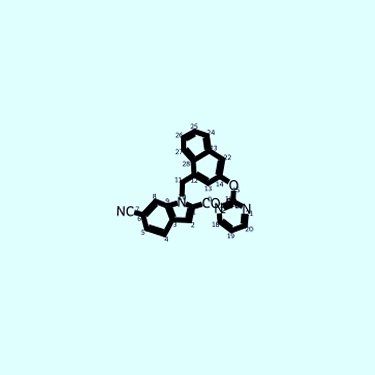 CCOC(=O)c1cc2ccc(C#N)cc2n1Cc1cc(Oc2ncccn2)cc2ccccc12